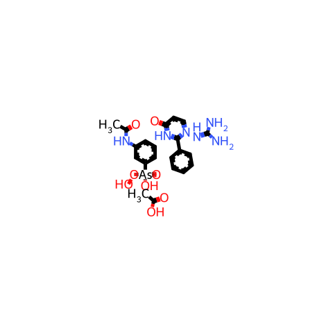 CC(=O)Nc1cccc([As](=O)(O)OO)c1.CC(=O)O.N=C(N)N.O=c1ccnc(-c2ccccc2)[nH]1